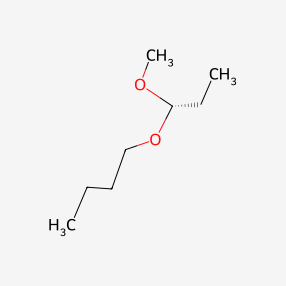 CCCCO[C@@H](CC)OC